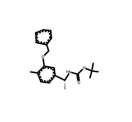 C[C@@H](NC(=O)OC(C)(C)C)c1ccc(I)c(OCc2ccccc2)c1